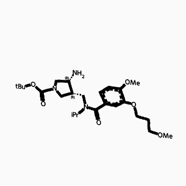 COCCCOc1cc(C(=O)N(C[C@@H]2CN(C(=O)OC(C)(C)C)C[C@@H]2N)C(C)C)ccc1OC